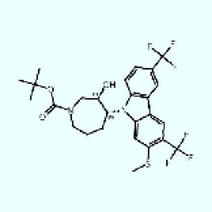 CSc1cc2c(cc1C(F)(F)F)c1cc(C(F)(F)F)ccc1n2[C@@H]1CCCN(C(=O)OC(C)(C)C)C[C@H]1O